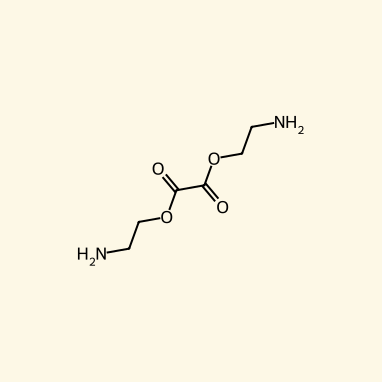 NCCOC(=O)C(=O)OCCN